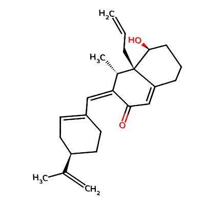 C=CC[C@@]12C(=CC(=O)C(=CC3=CC[C@H](C(=C)C)CC3)[C@@H]1C)CCC[C@@H]2O